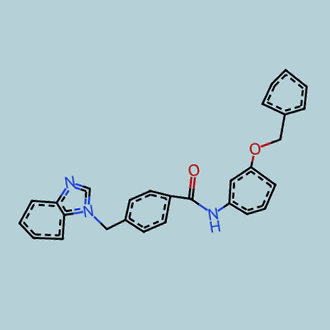 O=C(Nc1cccc(OCc2ccccc2)c1)c1ccc(Cn2cnc3ccccc32)cc1